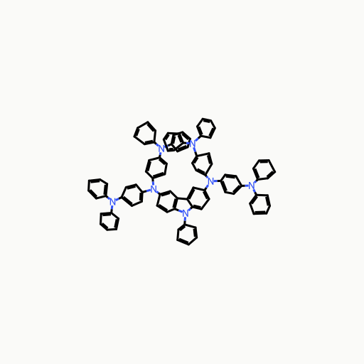 c1ccc(N(c2ccccc2)c2ccc(N(c3ccc(N(c4ccccc4)c4ccccc4)cc3)c3ccc4c(c3)c3cc(N(c5ccc(N(c6ccccc6)c6ccccc6)cc5)c5ccc(N(c6ccccc6)c6ccccc6)cc5)ccc3n4-c3ccccc3)cc2)cc1